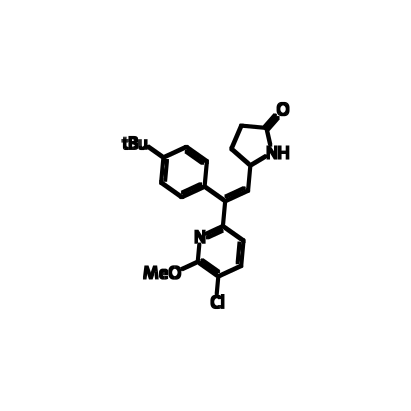 COc1nc(/C(=C/C2CCC(=O)N2)c2ccc(C(C)(C)C)cc2)ccc1Cl